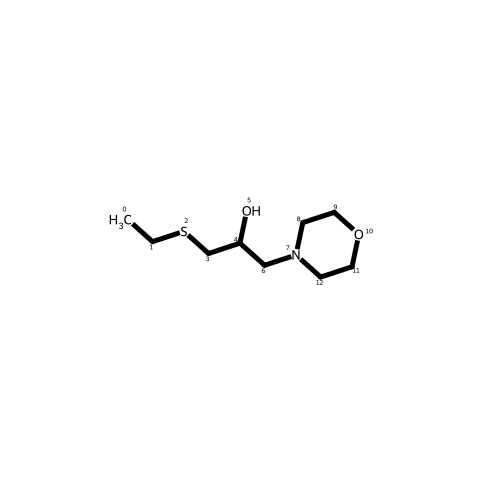 CCSCC(O)CN1CCOCC1